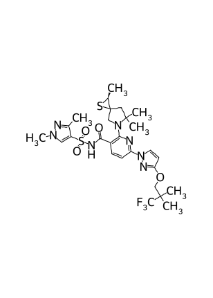 Cc1nn(C)cc1S(=O)(=O)NC(=O)c1ccc(-n2ccc(OCC(C)(C)C(F)(F)F)n2)nc1N1CC2(CC1(C)C)S[C@H]2C